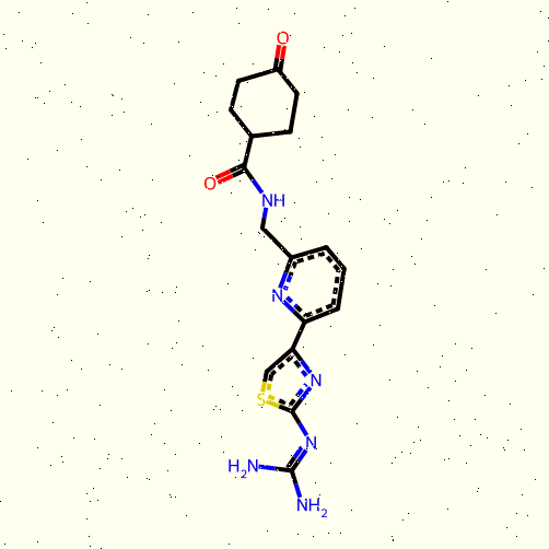 NC(N)=Nc1nc(-c2cccc(CNC(=O)C3CCC(=O)CC3)n2)cs1